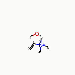 C=C[N+](C)(C)C.C[O-]